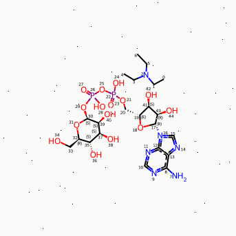 CCN(CC)CC.Nc1ncnc2c1ncn2[C@@H]1O[C@H](COP(=O)(O)OP(=O)(O)O[C@@H]2O[C@H](CO)[C@@H](O)[C@H](O)[C@@H]2O)[C@@H](O)[C@H]1O